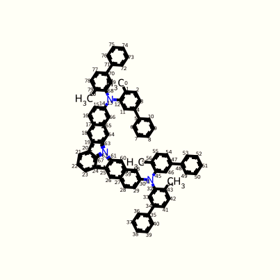 Cc1ccc(-c2ccccc2)cc1N(c1ccc2cc3c4cccc5c6cc7ccc(N(c8cc(-c9ccccc9)ccc8C)c8cc(-c9ccccc9)ccc8C)cc7cc6n(c3cc2c1)c45)c1cc(-c2ccccc2)ccc1C